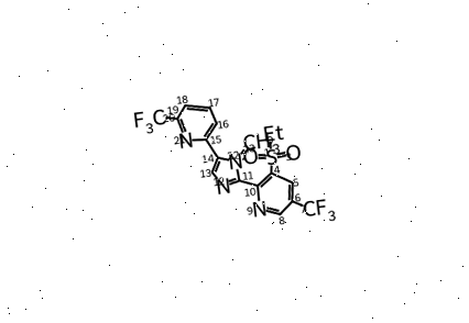 CCS(=O)(=O)c1cc(C(F)(F)F)cnc1-c1ncc(-c2cccc(C(F)(F)F)n2)n1C